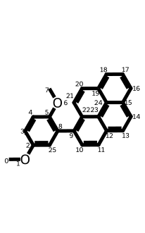 COc1[c]cc(OC)c(-c2ccc3ccc4cccc5ccc2c3c45)c1